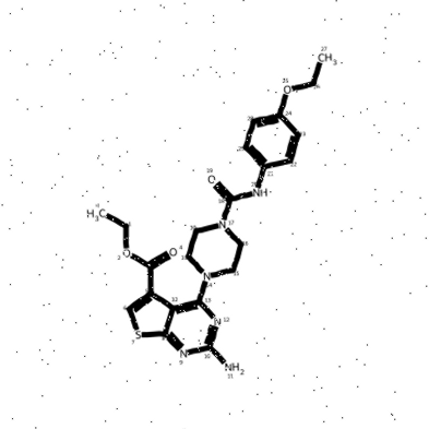 CCOC(=O)c1csc2nc(N)nc(N3CCN(C(=O)Nc4ccc(OCC)cc4)CC3)c12